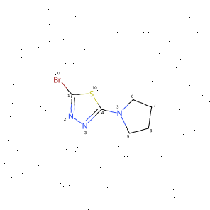 Brc1nnc(N2CCCC2)s1